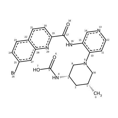 C[C@@H]1C[C@H](NC(=O)O)CN(c2ccncc2NC(=O)c2ccc3ccc(Br)cc3n2)C1